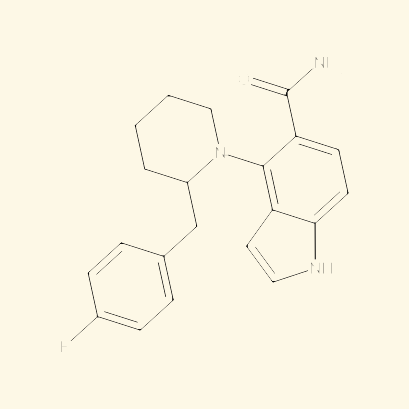 NC(=O)c1ccc2[nH]ccc2c1N1CCCCC1Cc1ccc(F)cc1